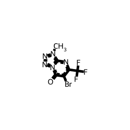 Cn1nnn2c(=O)c(Br)c(C(F)(F)F)nc12